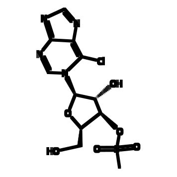 CS(=O)(=O)O[C@@H]1[C@@H](O)[C@H](n2cnc3ncnc-3c2Cl)O[C@@H]1CO